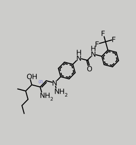 CCCC(C)C(O)/C(N)=C/N(N)c1ccc(NC(=O)Nc2ccccc2C(F)(F)F)cc1